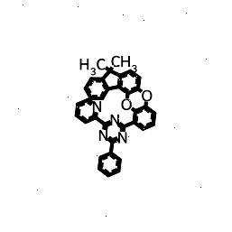 CC1(C)c2ccccc2-c2c1ccc1c2Oc2c(cccc2-c2nc(-c3ccccc3)nc(-c3ccccn3)n2)O1